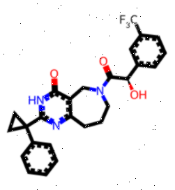 O=C([C@H](O)c1cccc(C(F)(F)F)c1)N1CCCc2nc(C3(c4ccccc4)CC3)[nH]c(=O)c2C1